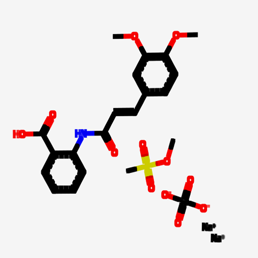 COS(C)(=O)=O.COc1ccc(/C=C/C(=O)Nc2ccccc2C(=O)O)cc1OC.O=[Se](=O)([O-])[O-].[Na+].[Na+]